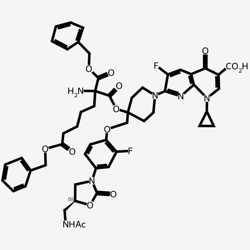 CC(=O)NC[C@H]1CN(c2ccc(OCC3(OC(=O)C(N)(CCCCC(=O)OCc4ccccc4)C(=O)OCc4ccccc4)CCN(c4nc5c(cc4F)c(=O)c(C(=O)O)cn5C4CC4)CC3)c(F)c2)C(=O)O1